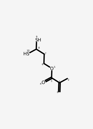 C=C(C)C(=O)OCCC(S)S